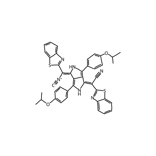 [C-]#[N+]/C(c1nc2ccccc2s1)=c1/[nH]c(-c2ccc(OC(C)C)cc2)c2/c(=C(\C#N)c3nc4ccccc4s3)[nH]c(-c3ccc(OC(C)C)cc3)c12